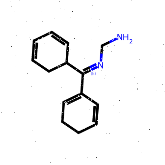 NC/N=C(/C1=CCCC=C1)C1C=CC=CC1